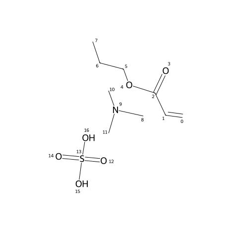 C=CC(=O)OCCC.CN(C)C.O=S(=O)(O)O